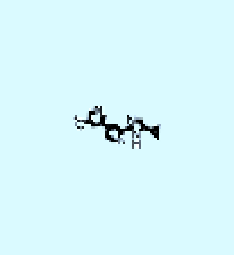 COc1cncc(-c2ccnc(-c3ncc(C4CC4)[nH]3)c2)c1